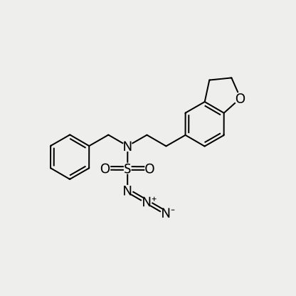 [N-]=[N+]=NS(=O)(=O)N(CCc1ccc2c(c1)CCO2)Cc1ccccc1